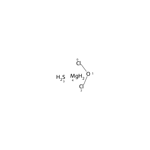 ClOCl.S.[MgH2]